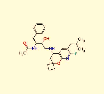 CC(=O)N[C@@H](Cc1ccccc1)[C@H](O)CN[C@H]1CC2(CCC2)Oc2nc(F)c(CC(C)C)cc21